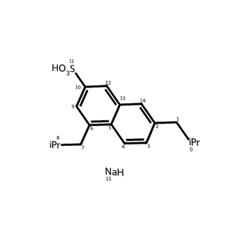 CC(C)Cc1ccc2c(CC(C)C)cc(S(=O)(=O)O)cc2c1.[NaH]